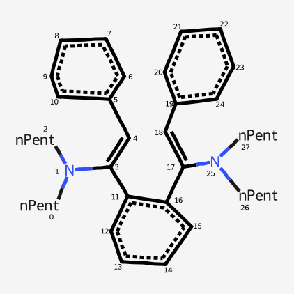 CCCCCN(CCCCC)C(=Cc1ccccc1)c1ccccc1C(=Cc1ccccc1)N(CCCCC)CCCCC